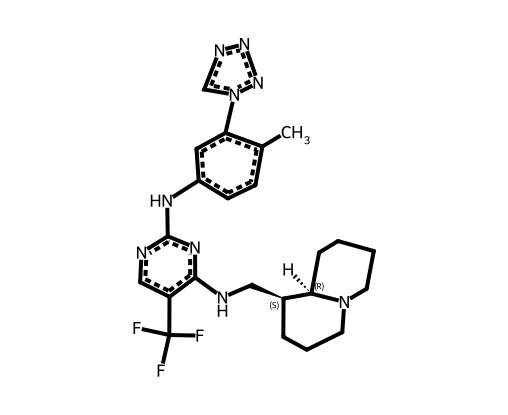 Cc1ccc(Nc2ncc(C(F)(F)F)c(NC[C@@H]3CCCN4CCCC[C@H]34)n2)cc1-n1cnnn1